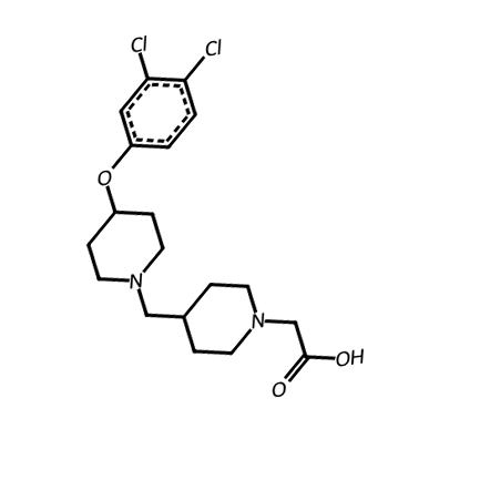 O=C(O)CN1CCC(CN2CCC(Oc3ccc(Cl)c(Cl)c3)CC2)CC1